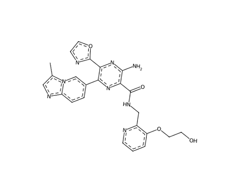 Cc1cnc2ccc(-c3nc(C(=O)NCc4ncccc4OCCO)c(N)nc3-c3ncco3)cn12